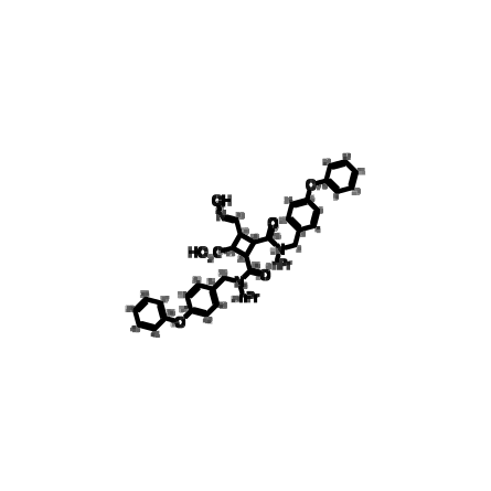 CCCN(Cc1ccc(Oc2ccccc2)cc1)C(=O)C1C(C=NO)C(C(=O)O)C1C(=O)N(CCC)Cc1ccc(Oc2ccccc2)cc1